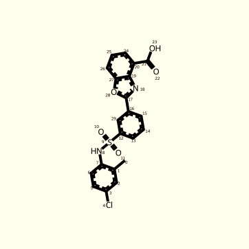 Cc1cc(Cl)ccc1NS(=O)(=O)c1cccc(-c2nc3c(C(=O)O)cccc3o2)c1